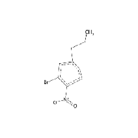 CCCc1ccc([N+](=O)[O-])c(Br)c1